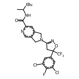 CC(NC(=O)c1cc2c(cn1)CN(C1=NOC(c3cc(Cl)c(F)c(Cl)c3)(C(F)(F)F)C1)C2)C(C)(C)C